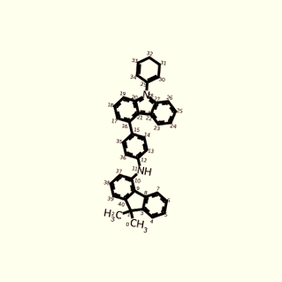 CC1(C)c2ccccc2-c2c(Nc3ccc(-c4cccc5c4c4ccccc4n5C4=CCCC=C4)cc3)cccc21